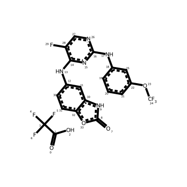 O=C(O)C(F)(F)F.O=c1[nH]c2cc(Nc3nc(Nc4cccc(OC(F)(F)F)c4)ncc3F)ccc2o1